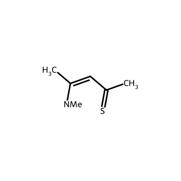 CN/C(C)=C\C(C)=S